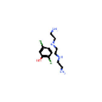 NCCNCCNCCN.Oc1cc(Cl)ccc1Cl